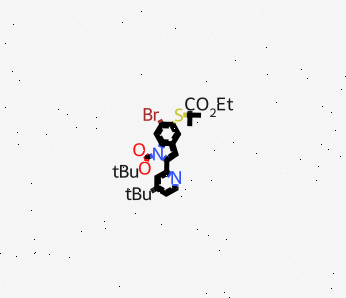 CCOC(=O)C(C)(C)Sc1cc2cc(-c3cc(C(C)(C)C)ccn3)n(C(=O)OC(C)(C)C)c2cc1Br